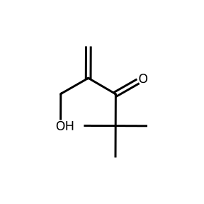 C=C(CO)C(=O)C(C)(C)C